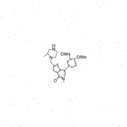 COc1ccc(-c2cn(C)c(=O)c3cc(CN4CCNCC4C)sc23)cc1OC